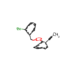 CC#Cc1ccccc1OCc1cccc(Br)c1